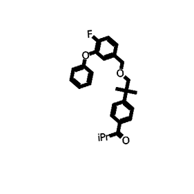 CC(C)C(=O)c1ccc(C(C)(C)COCc2ccc(F)c(Oc3ccccc3)c2)cc1